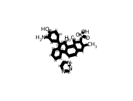 CC1C=c2ccc3c(c2C(C)C1S(=O)(=O)O)C(=O)C(c1ccc(O)c(N)c1)=c1ccccc1=3.c1cnncn1